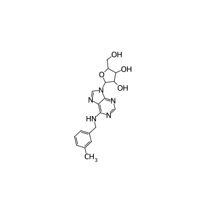 Cc1cccc(CNc2ncnc3c2ncn3C2OC(CO)C(O)C2O)c1